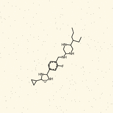 CCCC(CC)C1CNC(NCc2ccc(C3NOC(C4CC4)N3)cc2F)CN1